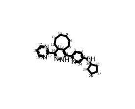 B(c1ccc(C2=C3CCCCCCC3C(c3ncccn3)=NN2)nc1)C1CCCC1